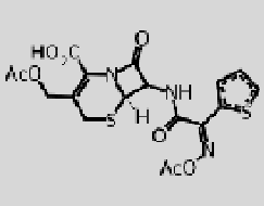 CC(=O)OCC1=C(C(=O)O)N2C(=O)[C@@H](NC(=O)/C(=N\OC(C)=O)c3cccs3)[C@H]2SC1